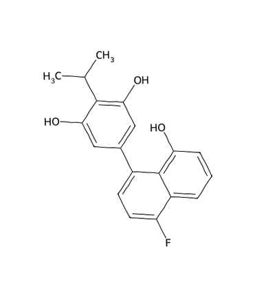 CC(C)c1c(O)cc(-c2ccc(F)c3cccc(O)c23)cc1O